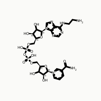 NCCNc1ncnc2c1ncn2[C@H]1O[C@@H](COP(=O)(O)OP(=O)(O)OC[C@H]2O[C@@H]([n+]3cccc(C(N)=O)c3)[C@@H](O)C2O)[C@@H](O)C1O